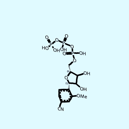 COc1cc(C#N)ccc1[C@@H]1O[C@H](COP(=O)(O)OP(=O)(O)OP(=O)(O)O)C(O)C1O